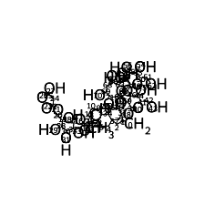 C=C1C[C@@]23CC[C@H]4[C@@](C)(CCC[C@@]4(C)C(=O)O[C@@H]4OC(COC(=O)CC(=O)O)[C@@H](O)C(O)C4O)[C@@H]2CC[C@]1(OC1O[C@H](CO)C(O)C(OC2O[C@H](CO)C(O)C(O)[C@H]2O)[C@H]1O[C@@H]1OC(CO)[C@@H](O)CC(O)C1O)C3